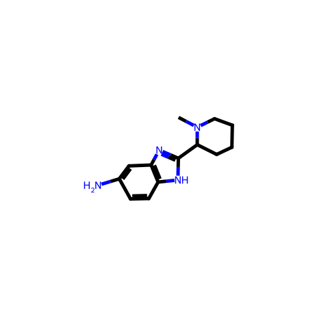 CN1CCCCC1c1nc2cc(N)ccc2[nH]1